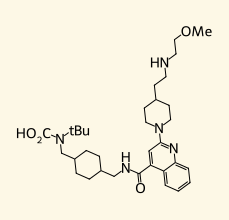 COCCNCCC1CCN(c2cc(C(=O)NCC3CCC(CN(C(=O)O)C(C)(C)C)CC3)c3ccccc3n2)CC1